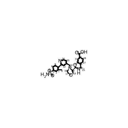 Cc1cc(S(N)(=O)=O)ccc1-c1cc(CN2CCOC[C@@H]2C(=O)N[C@@H](C)c2ccc(C(=O)O)cc2)ccn1